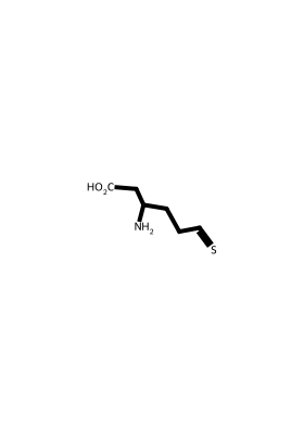 NC(CCC=S)CC(=O)O